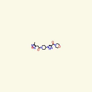 Cc1nonc1CC(=O)N1CCC(n2cc(C(=O)N3CCOCC3)nn2)CC1